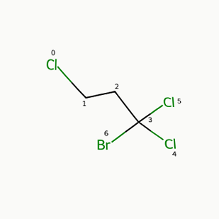 ClCCC(Cl)(Cl)Br